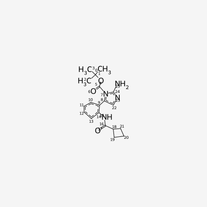 CC(C)(C)OC(=O)n1c(-c2ccccc2NC(=O)C2CCC2)cnc1N